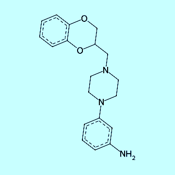 Nc1cccc(N2CCN(CC3COc4ccccc4O3)CC2)c1